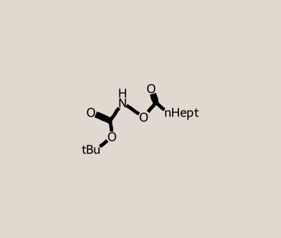 CCCCCCCC(=O)ONC(=O)OC(C)(C)C